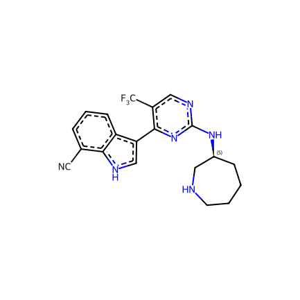 N#Cc1cccc2c(-c3nc(N[C@H]4CCCCNC4)ncc3C(F)(F)F)c[nH]c12